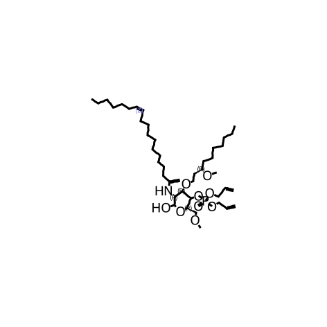 C=CCOP(=O)(OCC=C)OC1[C@@H](COC)OC(O)[C@H](NC(=C)CCCCCCCCC/C=C\CCCCCC)[C@H]1OCC[C@@H](CCCCCCC)OC